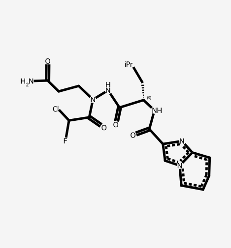 CC(C)C[C@H](NC(=O)c1cn2ccccc2n1)C(=O)NN(CCC(N)=O)C(=O)C(F)Cl